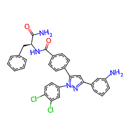 NC(=O)[C@H](Cc1ccccc1)NC(=O)c1ccc(-c2cc(-c3cccc(N)c3)nn2-c2ccc(Cl)c(Cl)c2)cc1